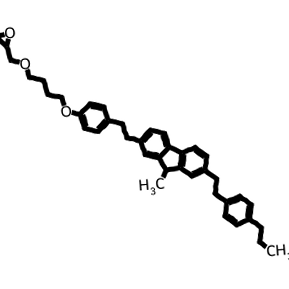 CCCc1ccc(CCc2ccc3c(c2)C(C)c2cc(CCc4ccc(OCCCCOCC5CO5)cc4)ccc2-3)cc1